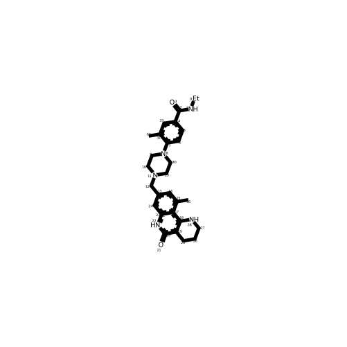 CCNC(=O)c1ccc(N2CCN(Cc3cc(C)c4c5c(c(=O)[nH]c4c3)CCCN5)CC2)c(C)c1